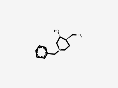 CC[C@H]1CCN(Cc2ccccc2)C[C@@H]1O